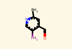 Bc1cc(C=O)c(P)cn1